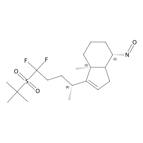 C[C@H](CCC(F)(F)S(=O)(=O)C(C)(C)C)C1=CCC2[C@@H](N=O)CCC[C@]12C